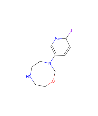 Ic1ccc(N2CCNCCOC2)cn1